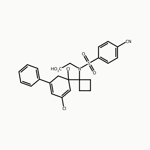 N#Cc1ccc(S(=O)(=O)N(CC(=O)O)C2(C3(Cl)C=C(Cl)C=C(c4ccccc4)C3)CCC2)cc1